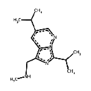 CNCc1nc(C(C)C)n2ncc(C(C)C)cc12